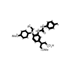 COCC(CC(=O)O)c1ccc(N(CC(C)C)C2CCC(OC)CC2)c(NC(=O)Nc2ccc(C)cc2)c1